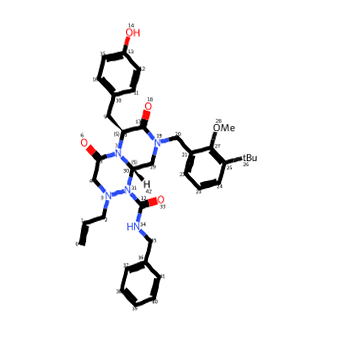 C=CCN1CC(=O)N2[C@@H](Cc3ccc(O)cc3)C(=O)N(Cc3cccc(C(C)(C)C)c3OC)C[C@@H]2N1C(=O)NCc1ccccc1